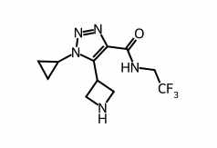 O=C(NCC(F)(F)F)c1nnn(C2CC2)c1C1CNC1